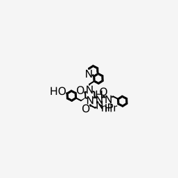 CCCN1CC(=O)N2[C@@H](Cc3ccc(O)cc3)C(=O)N(Cc3cccc4cccnc34)C[C@@H]2N1C(=O)NCc1ccccc1